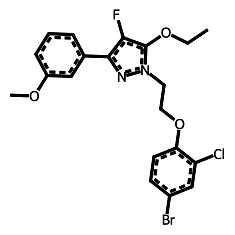 CCOc1c(F)c(-c2cccc(OC)c2)nn1CCOc1ccc(Br)cc1Cl